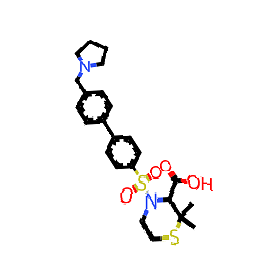 CC1(C)SCCN(S(=O)(=O)c2ccc(-c3ccc(CN4CCCC4)cc3)cc2)C1C(=O)O